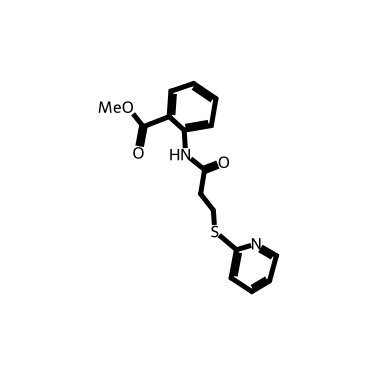 COC(=O)c1ccccc1NC(=O)CCSc1ccccn1